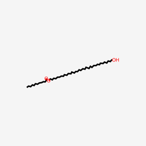 CCCCCCCCCCCC(=O)OCCCCCCCCCCCCCCCCCCCCCCCCCCCCCCCCCCCO